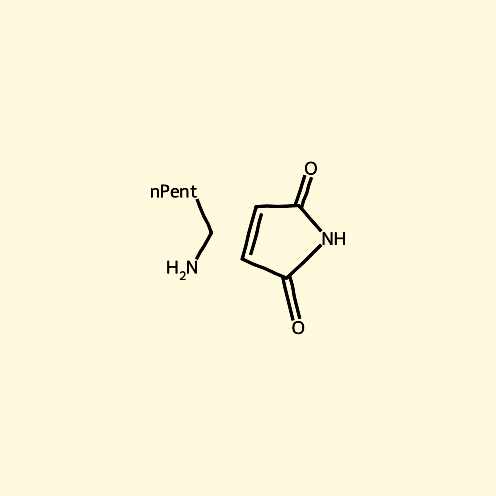 CCCCCCN.O=C1C=CC(=O)N1